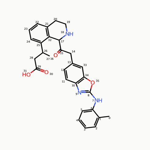 Cc1ccccc1Nc1nc2ccc(CC(=O)C3NCCc4cccc(C(C)CC(=O)O)c43)cc2o1